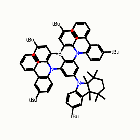 CC(C)(C)c1ccc2c(c1)B1c3cc(C(C)(C)C)ccc3N(c3ccc(C(C)(C)C)cc3-c3ccccc3)c3cc(N4c5ccc(C(C)(C)C)cc5C5(C)C(C)(C)CCC(C)(C)C45C)cc(c31)N2c1ccc(C(C)(C)C)cc1-c1ccccc1